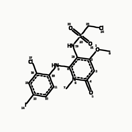 COc1cc(=O)n(C)c(Nc2ccc(I)cc2Cl)c1NS(=O)(=O)CCl